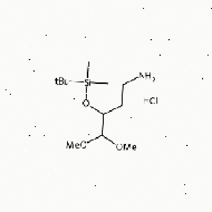 COC(OC)C(CCN)O[Si](C)(C)C(C)(C)C.Cl